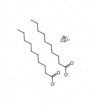 CCCCCCCCCC(=O)[O-].CCCCCCCCCC(=O)[O-].[Br-].[Ga+3]